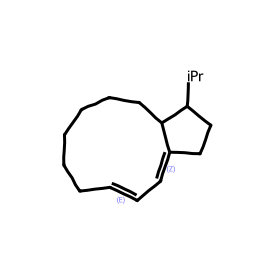 CC(C)C1CC/C2=C/C=C/CCCCCCC21